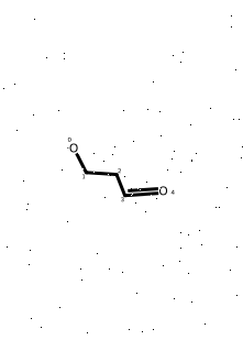 [O]CCC=O